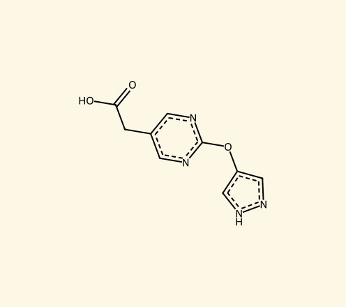 O=C(O)Cc1cnc(Oc2cn[nH]c2)nc1